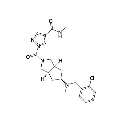 CNC(=O)c1cnn(C(=O)N2C[C@H]3C[C@@H](N(C)Cc4ccccc4Cl)C[C@H]3C2)c1